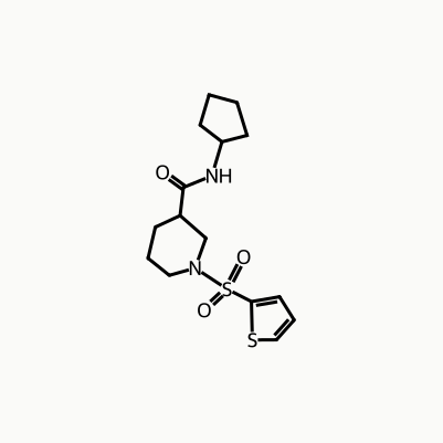 O=C(NC1CCCC1)C1CCCN(S(=O)(=O)c2cccs2)C1